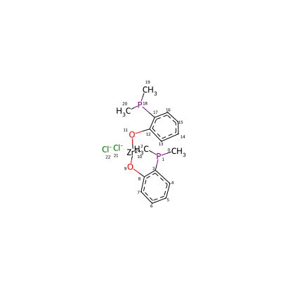 CP(C)c1ccccc1[O][Zr+2][O]c1ccccc1P(C)C.[Cl-].[Cl-]